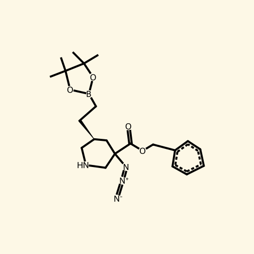 CC1(C)OB(CC[C@@H]2CNCC(N=[N+]=[N-])(C(=O)OCc3ccccc3)C2)OC1(C)C